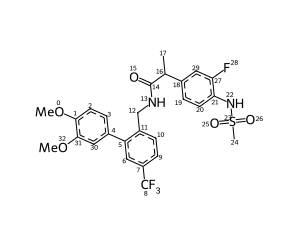 COc1ccc(-c2cc(C(F)(F)F)ccc2CNC(=O)C(C)c2ccc(NS(C)(=O)=O)c(F)c2)cc1OC